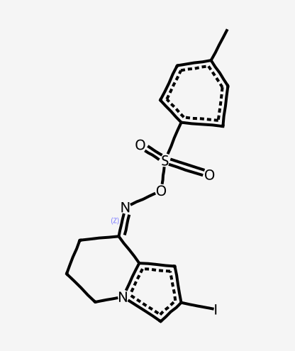 Cc1ccc(S(=O)(=O)O/N=C2/CCCn3cc(I)cc32)cc1